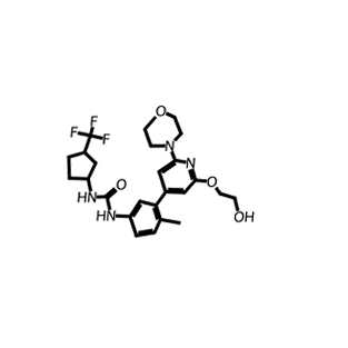 Cc1ccc(NC(=O)NC2CCC(C(F)(F)F)C2)cc1-c1cc(OCCO)nc(N2CCOCC2)c1